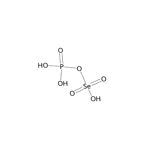 O=P(O)(O)O[Se](=O)(=O)O